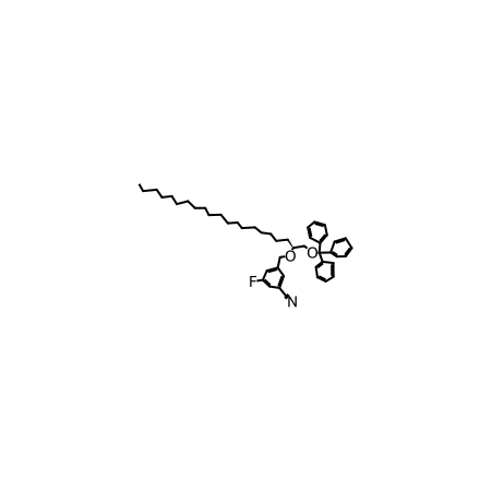 CCCCCCCCCCCCCCCCCCC[C@@H](COC(c1ccccc1)(c1ccccc1)c1ccccc1)OCc1cc(F)cc(C#N)c1